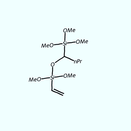 C=C[Si](OC)(OC)OC(CCC)[Si](OC)(OC)OC